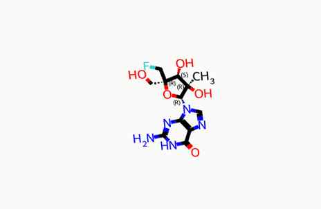 C[C@@]1(O)[C@H](O)[C@](CO)(CF)O[C@H]1n1cnc2c(=O)[nH]c(N)nc21